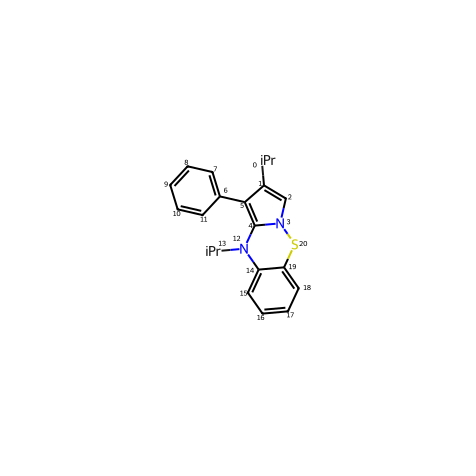 CC(C)c1cn2c(c1-c1ccccc1)N(C(C)C)c1ccccc1S2